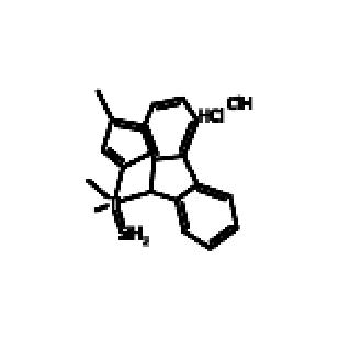 CC1=CC[C]([Ti]([CH3])([CH3])(=[SiH2])[CH]2c3ccccc3-c3ccccc32)=C1.Cl.Cl